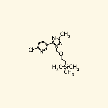 Cc1nc(-c2ccc(Cl)nc2)n(COCC[Si](C)(C)C)n1